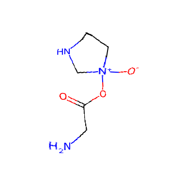 NCC(=O)O[N+]1([O-])CCNC1